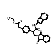 CCOC(=O)Cc1ccc(C(CN2C(=O)c3ccccc3C2=O)C(=O)Nc2cc3ccncc3s2)cc1